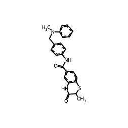 CC1Sc2ccc(C(=O)Nc3ccc(CN(C)c4ccccc4)cc3)cc2NC1=O